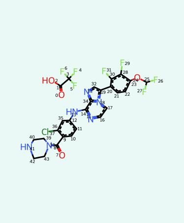 O=C(O)C(F)(F)F.O=C(c1ccc(Nc2nccn3c(-c4ccc(OC(F)F)c(F)c4F)cnc23)cc1Cl)N1CCNCC1